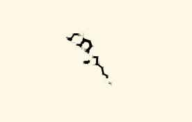 O=C(O)NCCCC1CN(c2ccc3c(n2)OC(=O)CN3)C(=O)O1